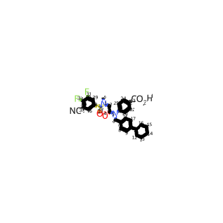 CN(CC(=O)N(Cc1ccc(C2CCCCC2)cc1)c1ccc(C(=O)O)cc1)[S+]([O-])c1cc(F)c(F)c(C#N)c1